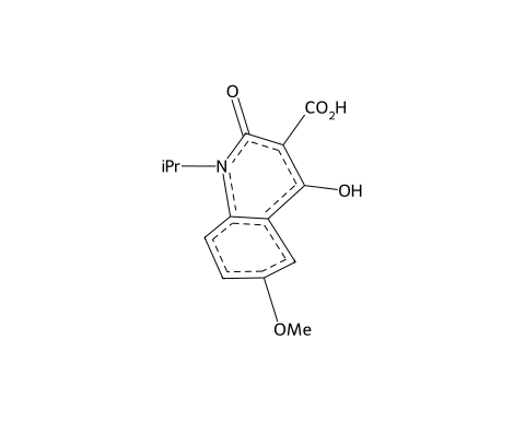 COc1ccc2c(c1)c(O)c(C(=O)O)c(=O)n2C(C)C